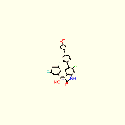 O=C1Nc2cc(Cl)c(-c3ccc(C4CC(O)C4)cc3)cc2/C1=C(/O)c1cc(F)cc(F)c1